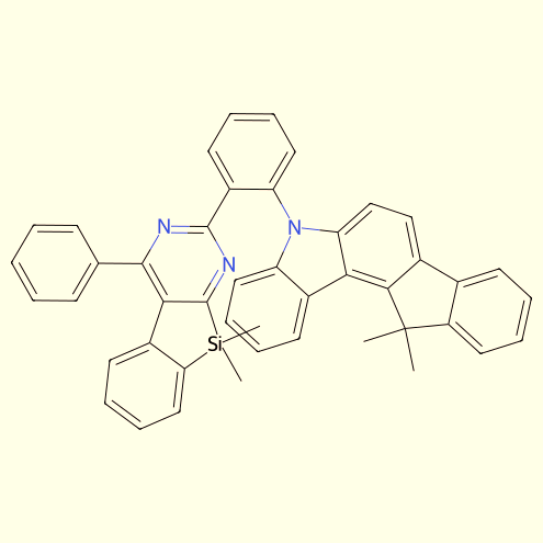 CC1(C)c2ccccc2-c2ccc3c(c21)c1ccccc1n3-c1ccccc1-c1nc(-c2ccccc2)c2c(n1)[Si](C)(C)c1ccccc1-2